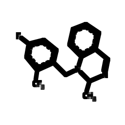 CC1N=Cc2ccccc2N1Cc1ccc(F)cc1C(F)(F)F